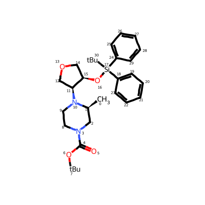 C[C@H]1CN(C(=O)OC(C)(C)C)CCN1[C@H]1COC[C@H]1O[Si](c1ccccc1)(c1ccccc1)C(C)(C)C